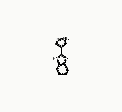 c1ccc2[nH]c(-c3cn[nH]c3)nc2c1